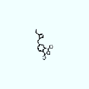 C=CC1=CC=C1Cc1ccc2c(c1)C(=O)OC2=O